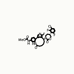 COC(=O)Nc1ccc2c(c1)NC(=O)CCCC[C@H](N1CC[C@H](c3c(F)ccc(Cl)c3F)COC1=O)c1cc-2cnc1F